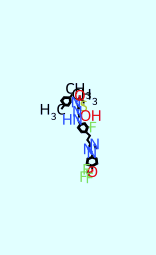 Cc1ccc(C(C)C)c(N2C(=O)CS/C2=N\C(O)Nc2ccc(CCc3ncn(-c4ccc(OC(F)(F)F)cc4)n3)c(F)c2)c1